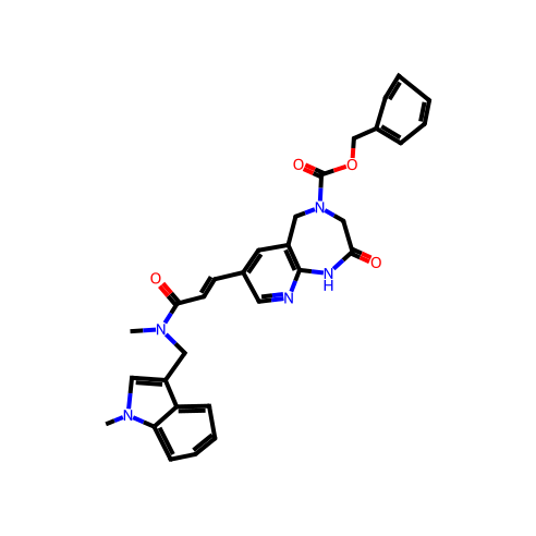 CN(Cc1cn(C)c2ccccc12)C(=O)/C=C/c1cnc2c(c1)CN(C(=O)OCc1ccccc1)CC(=O)N2